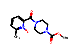 Cc1cccc(C(=O)N2CCN(C(=O)OC(C)(C)C)CC2)[n+]1[O-]